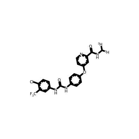 [2H]C([2H])NC(=O)c1cc(Oc2ccc(NC(=O)Nc3ccc(Cl)c(C(F)(F)F)c3)cc2)ccn1